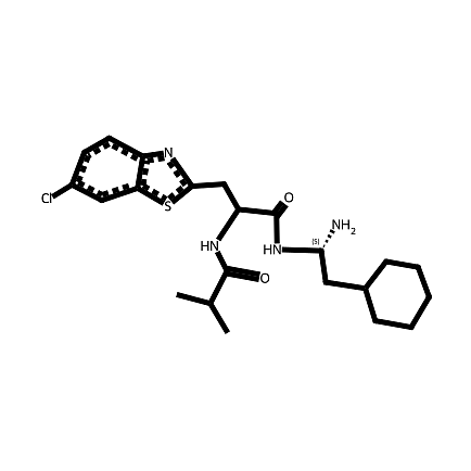 CC(C)C(=O)NC(Cc1nc2ccc(Cl)cc2s1)C(=O)N[C@H](N)CC1CCCCC1